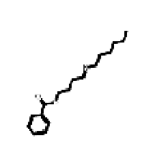 CCCCCCN=CCCCOC(=O)c1ccccc1